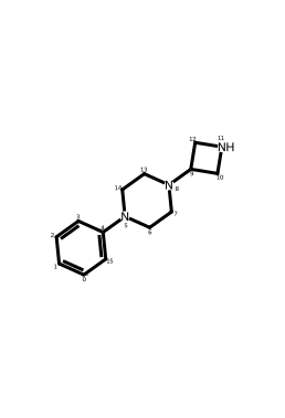 [c]1cccc(N2CCN(C3CNC3)CC2)c1